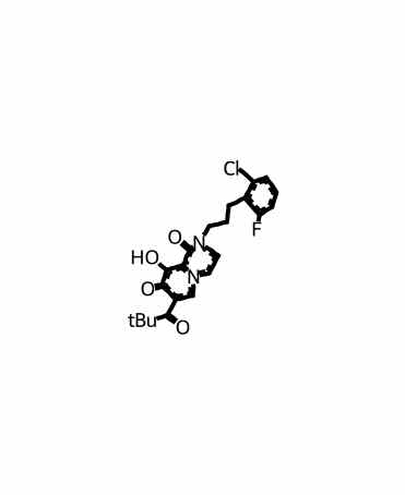 CC(C)(C)C(=O)c1cn2ccn(CCCc3c(F)cccc3Cl)c(=O)c2c(O)c1=O